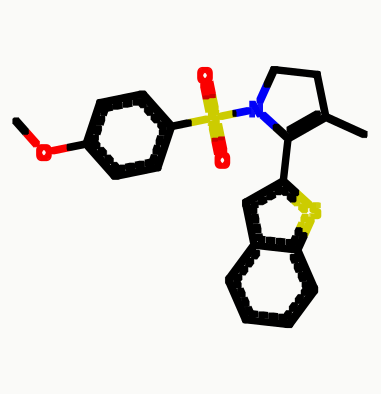 COc1ccc(S(=O)(=O)N2CCC(C)=C2c2cc3ccccc3s2)cc1